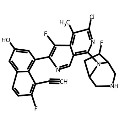 C#Cc1c(F)ccc2cc(O)cc(-c3ncc4c(N5C6CNCC5C(F)C6)nc(Cl)c(C)c4c3F)c12